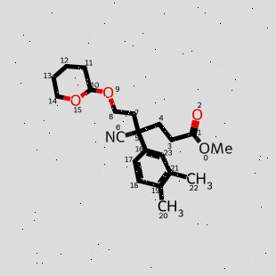 COC(=O)CCC(C#N)(CCOC1CCCCO1)c1ccc(C)c(C)c1